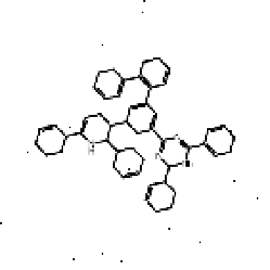 C1=CCCC(C2=C(C3=CC(C4CC=C(C5C=CCCC5)NC4C4CC=CCC4)CC(C4=NC(C5C=CCCC5)NC(C5=CCCC=C5)=N4)=C3)C=CCC2)=C1